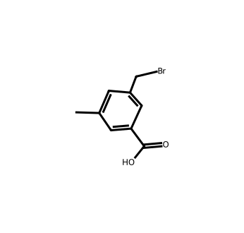 Cc1cc(CBr)cc(C(=O)O)c1